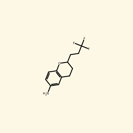 Nc1ccc2c(c1)CCC(CCC(F)(F)F)O2